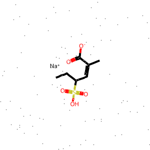 CCC(C=C(C)C(=O)[O-])S(=O)(=O)O.[Na+]